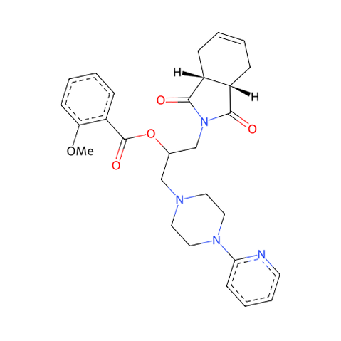 COc1ccccc1C(=O)OC(CN1CCN(c2ccccn2)CC1)CN1C(=O)[C@H]2CC=CC[C@H]2C1=O